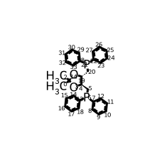 CC1(C)O[C@H](CP(c2ccccc2)c2ccccc2)[C@@H](CP(c2ccccc2)c2ccccc2)O1